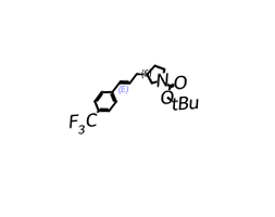 CC(C)(C)OC(=O)N1CC[C@H](C/C=C/c2ccc(C(F)(F)F)cc2)C1